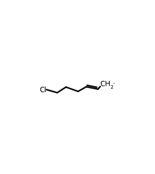 [CH2]/C=C/CCCCl